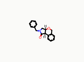 O=C1[C@H]2c3ccccc3CO[C@H]2CN1Cc1ccccc1